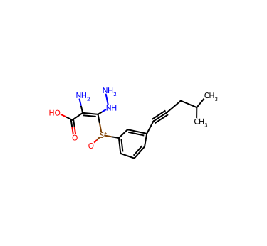 CC(C)CC#Cc1cccc([S+]([O-])/C(NN)=C(/N)C(=O)O)c1